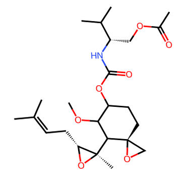 COC1C(OC(=O)N[C@@H](COC(C)=O)C(C)C)CC[C@]2(CO2)C1[C@@]1(C)O[C@@H]1CC=C(C)C